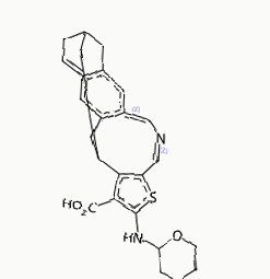 O=C(O)c1c(NC2CCCCO2)sc2c1C1Cc3cc4c(c/c3=C/N=C\2)CC(CC=4)C1